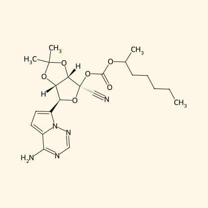 CCCCCC(C)OC(=O)O[C@@]1(C#N)O[C@@H](c2ccc3c(N)ncnn23)[C@@H]2OC(C)(C)O[C@@H]21